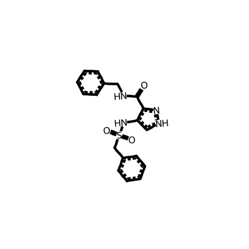 O=C(NCc1ccccc1)c1n[nH]cc1NS(=O)(=O)Cc1ccccc1